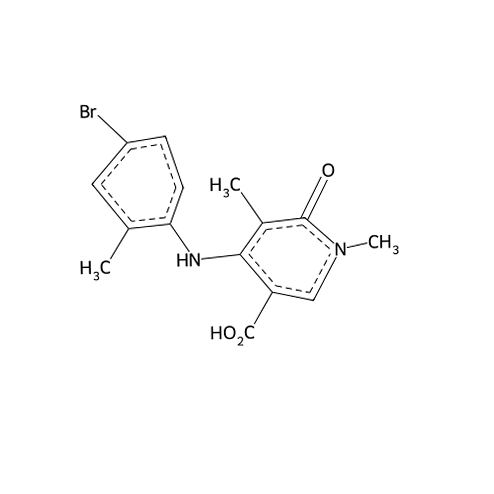 Cc1cc(Br)ccc1Nc1c(C(=O)O)cn(C)c(=O)c1C